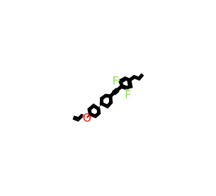 C=CCO[C@H]1CC[C@H](C2CCC(C#Cc3c(F)cc(CCC)cc3F)CC2)CC1